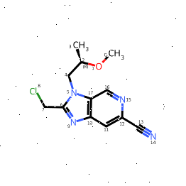 CO[C@H](C)Cn1c(CCl)nc2cc(C#N)ncc21